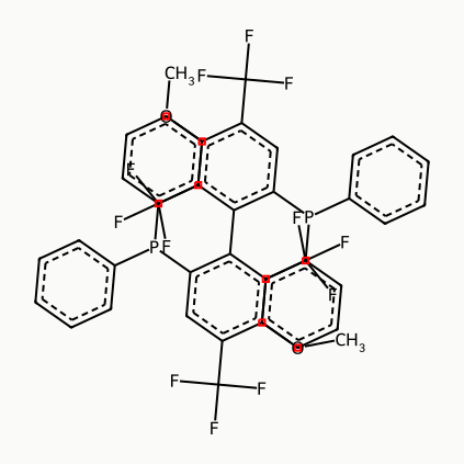 COc1c(C(F)(F)F)cc(P(c2ccccc2)c2ccccc2)c(-c2c(P(c3ccccc3)c3ccccc3)cc(C(F)(F)F)c(OC)c2C(F)(F)F)c1C(F)(F)F